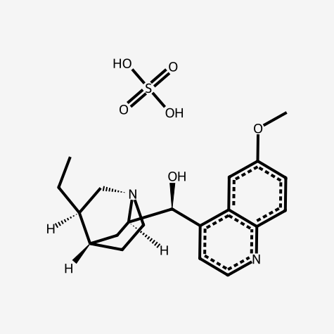 CC[C@H]1C[N@]2CC[C@H]1C[C@@H]2[C@@H](O)c1ccnc2ccc(OC)cc12.O=S(=O)(O)O